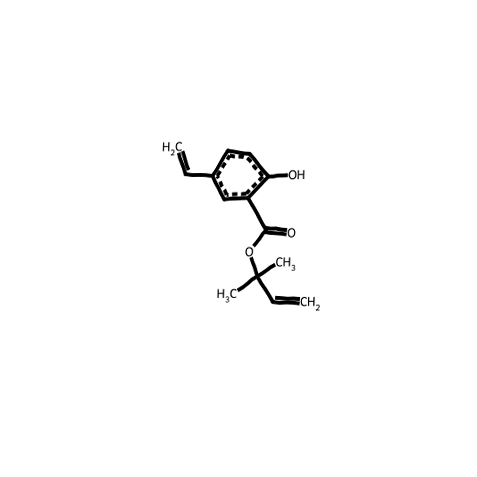 C=Cc1ccc(O)c(C(=O)OC(C)(C)C=C)c1